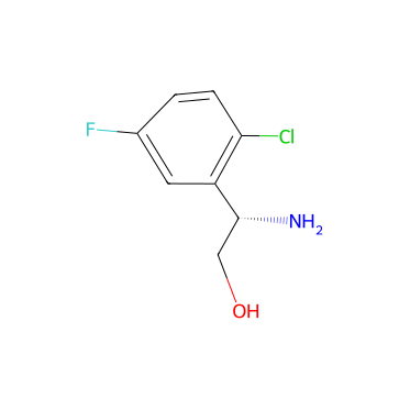 N[C@H](CO)c1cc(F)ccc1Cl